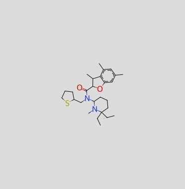 CCC1(CC)CCCC(N(CC2CCCS2)C(=O)C2Oc3cc(C)cc(C)c3C2C)N1C